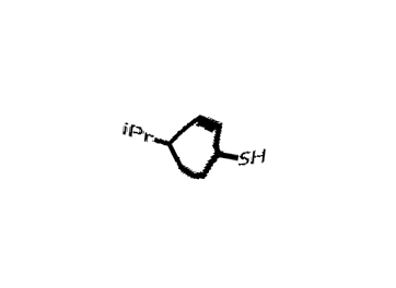 CC(C)C1C=CC(S)CC1